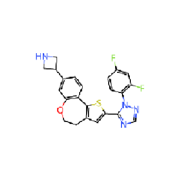 Fc1ccc(-n2ncnc2-c2cc3c(s2)-c2ccc(C4CNC4)cc2OCC3)c(F)c1